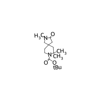 CN1CC2(CCN(C(=O)OC(C)(C)C)C(C)(C)C2)CC1=O